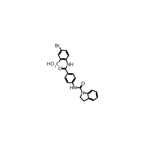 O=C(Nc1ccc(Br)cc1C(=O)O)c1ccc(NC(=O)N2CCc3ccccc32)cc1